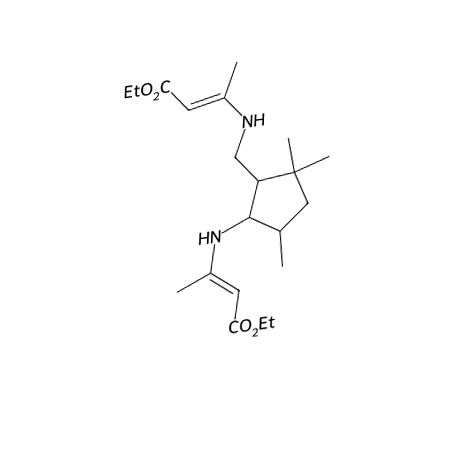 CCOC(=O)C=C(C)NCC1C(NC(C)=CC(=O)OCC)C(C)CC1(C)C